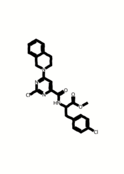 COC(=O)C(Cc1ccc(Cl)cc1)NC(=O)c1cc(N2CCc3ccccc3C2)nc(Cl)n1